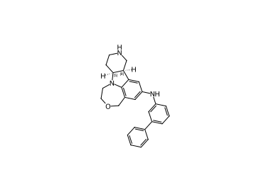 c1ccc(-c2cccc(Nc3cc4c5c(c3)[C@@H]3CNCC[C@@H]3N5CCOC4)c2)cc1